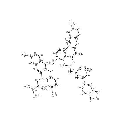 CCCC[C@@H](COC(=O)N(Cc1ccc(C)cc1)C(C)c1ccc(C)cc1)NC(=O)N[C@@H](CC(=O)O)c1ccc2c(c1)OCO2.CCCC[C@@H](COC(=O)N(Cc1ccc(C)cc1)Cc1ccc(C)cc1)N(C(=O)O)C(C)(C)C